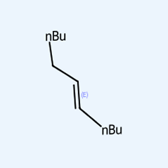 [CH2]CCCC/C=C/CCCC